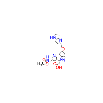 CS(=O)(=O)NCc1cncc(C(CC(=O)O)n2ncc3cc(OCCc4ccc5c(n4)CCCN5)ccc32)c1